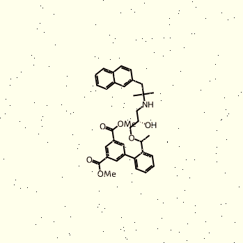 COC(=O)c1cc(C(=O)OC)cc(-c2ccccc2C(C)OC[C@@H](O)CNC(C)(C)Cc2ccc3ccccc3c2)c1